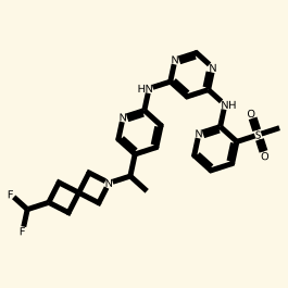 CC(c1ccc(Nc2cc(Nc3ncccc3S(C)(=O)=O)ncn2)nc1)N1CC2(CC(C(F)F)C2)C1